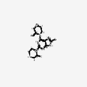 CC1COCCN1c1nc(N2CCOCC2C)c2nc(I)sc2n1